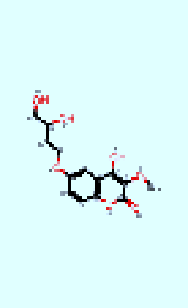 CCOc1c(O)c2cc(OCCC(O)CO)ccc2oc1=O